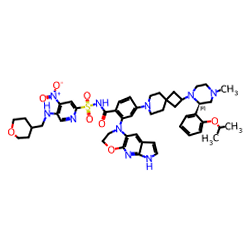 CC(C)Oc1ccccc1[C@@H]1CN(C)CCN1C1CC2(CCN(c3ccc(C(=O)NS(=O)(=O)c4cc([N+](=O)[O-])c(NCC5CCOCC5)cn4)c(N4CCOc5nc6[nH]ccc6cc54)c3)CC2)C1